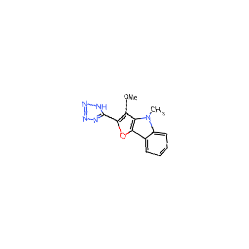 COc1c(-c2nnn[nH]2)oc2c3ccccc3n(C)c12